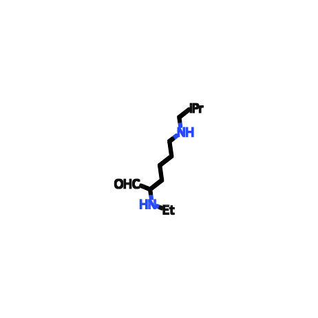 CCNC(C=O)CCCCNCC(C)C